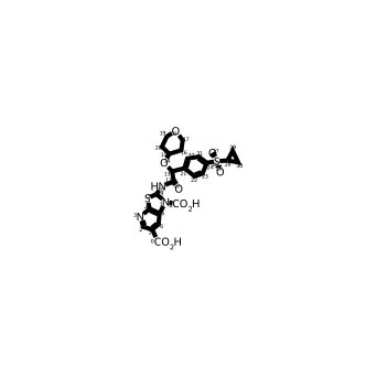 O=C(O)c1cnc2c(c1)N(C(=O)O)C(NC(=O)C(OC1CCOCC1)c1ccc(S(=O)(=O)C3CC3)cc1)S2